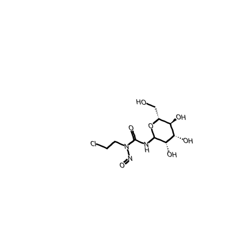 O=NN(CCCl)C(=O)NC1O[C@H](CO)[C@@H](O)[C@H](O)[C@@H]1O